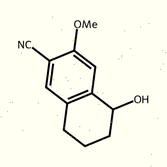 COc1cc2c(cc1C#N)CCCC2O